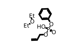 C=CCOP(=O)(O)Oc1ccccc1.CCOCC